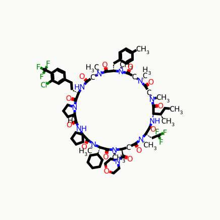 CC[C@H](C)[C@@H]1NC(=O)[C@H](CC(F)(F)F)N(C)C(=O)C[C@@H](C(=O)N2CCOCC2)N(C)C(=O)[C@H](C2CCCCC2)N(C)C(=O)C2(CCCC2)NC(=O)[C@@H]2CCCN2C(=O)[C@H](CCc2ccc(C(F)(F)F)c(Cl)c2)NC(=O)CN(C)C(=O)[C@H](Cc2ccc(C)cc2)N(C)C(=O)CN(C)C(=O)CN(C)C1=O